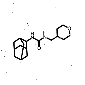 O=C(NCC1CCOCC1)NC1C2CC3CC(C2)CC1C3